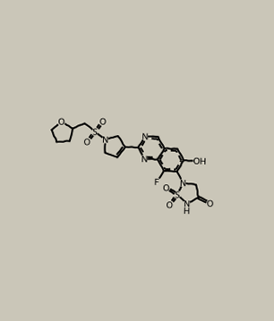 O=C1CN(c2c(O)cc3cnc(C4=CCN(S(=O)(=O)CC5CCCO5)C4)nc3c2F)S(=O)(=O)N1